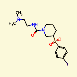 CN(C)CCNC(=O)N1CCCC(S(=O)(=O)c2ccc(I)cc2)C1